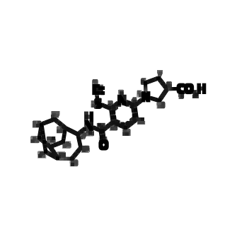 CCSc1nc(N2CCC(C(=O)O)C2)ccc1C(=O)NC1CCC2CC3CC2CC1C3